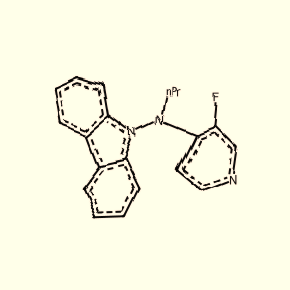 CCCN(c1ccncc1F)n1c2ccccc2c2ccccc21